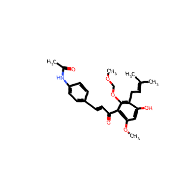 COCOc1c(CC=C(C)C)c(O)cc(OC)c1C(=O)/C=C/c1ccc(NC(C)=O)cc1